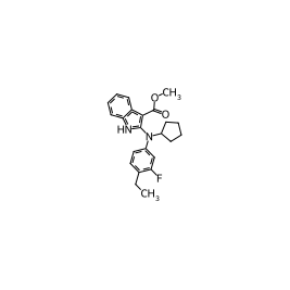 CCc1ccc(N(c2[nH]c3ccccc3c2C(=O)OC)C2CCCC2)cc1F